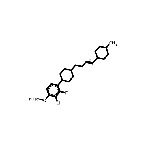 CCCCCCOc1ccc(C2CCC(CC/C=C/C3CCC(C)CC3)CC2)c(F)c1Cl